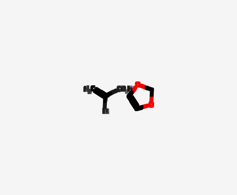 C1=COCO1.C=C(CC)C(=O)O